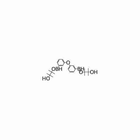 CC(C)(O)C(C)(C)OBc1cccc(Oc2cccc(BOC(C)(C)C(C)(C)O)c2)c1